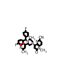 Cc1cc(C2CN(c3cc(=O)n(C)c4ccc(C#N)nc34)CC(C)N2C(c2ccc(F)cc2)c2ccc(F)cc2)ccn1